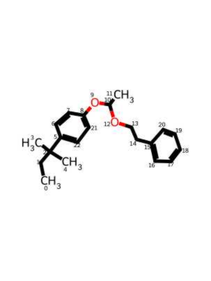 CCC(C)(C)c1ccc(OC(C)OCCc2ccccc2)cc1